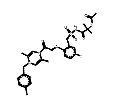 CC(=O)OC(C)(C)C(=O)NS(=O)(=O)Cc1cc(Cl)ccc1OCC(=O)N1C=C(C)N(Cc2ccc(F)cc2)C=C1C